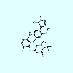 CCCc1cc(F)c(Nc2ncc(F)c(NC3CC(=O)N4C(CCC4(C)C)C3)n2)cc1-n1nnn(C)c1=O